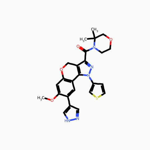 COc1cc2c(cc1-c1cn[nH]c1)-c1c(c(C(=O)N3CCOCC3(C)C)nn1-c1ccsc1)CO2